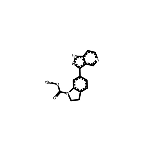 CC(C)(C)OC(=O)N1CCc2ccc(-c3n[nH]c4ccncc34)cc21